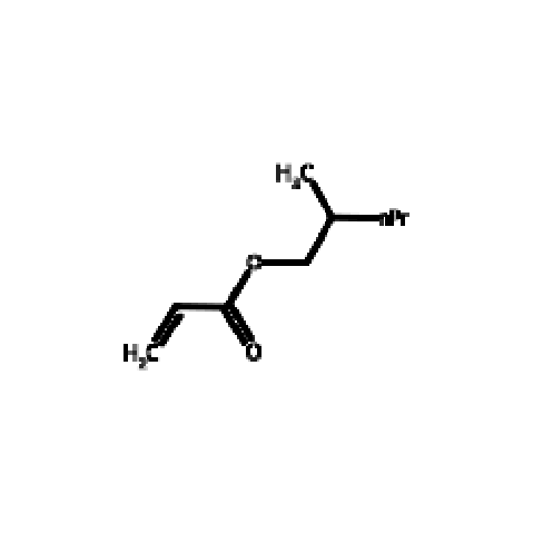 C=CC(=O)OC[C](C)CCC